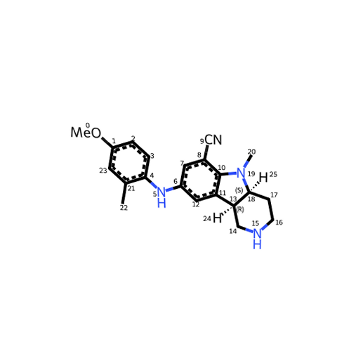 COc1ccc(Nc2cc(C#N)c3c(c2)[C@@H]2CNCC[C@@H]2N3C)c(C)c1